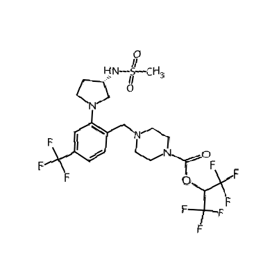 CS(=O)(=O)N[C@H]1CCN(c2cc(C(F)(F)F)ccc2CN2CCN(C(=O)OC(C(F)(F)F)C(F)(F)F)CC2)C1